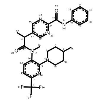 CC1CCN(c2nc(C(F)(F)F)ccc2N(C)C(=O)C(C)c2cnc(C(=O)Nc3ccccc3)nc2)CC1